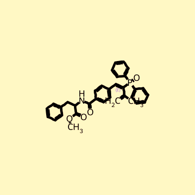 C=C(C)/C(=C\c1ccc(C(=O)NC(Cc2ccccc2)C(=O)OC)cc1)P(=O)(c1ccccc1)c1ccccc1